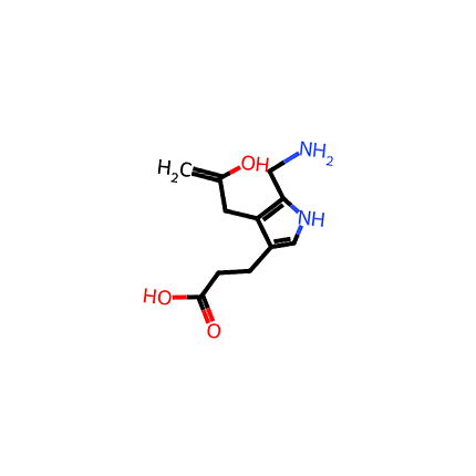 C=C(O)Cc1c(CCC(=O)O)c[nH]c1CN